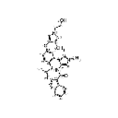 Cc1nn(CCO)cc1Oc1ccc(OC(F)F)c(-c2nn(C)cc2NC(=O)c2cnn3cccnc23)c1